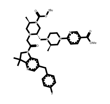 COC(=O)c1ccc(N2CCN(C[C@H]3CN(C(=O)OC(C)(C)C)[C@H](C)CN3CC(=O)N3CC(C)(C)c4ncc(Cc5ccc(F)cc5)cc43)[C@H](C)C2)nc1